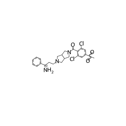 CS(=O)(=O)c1cc(Cl)c(C(=O)N2CC3CN(CC[C@H](N)c4ccccc4)CC3C2)c(Cl)c1